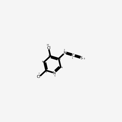 S=C=Nc1cnc(Cl)cc1Cl